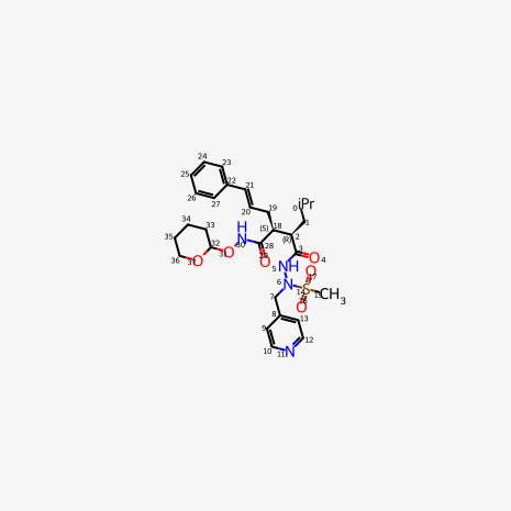 CC(C)C[C@@H](C(=O)NN(Cc1ccncc1)S(C)(=O)=O)[C@H](CC=Cc1ccccc1)C(=O)NOC1CCCCO1